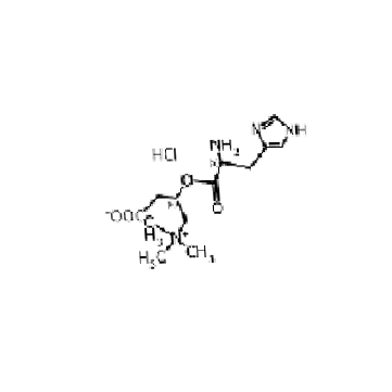 C[N+](C)(C)C[C@@H](CC(=O)[O-])OC(=O)[C@@H](N)Cc1c[nH]cn1.Cl